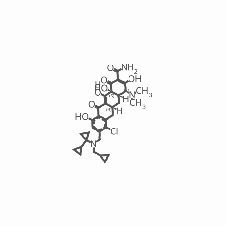 CN(C)[C@@H]1C(O)=C(C(N)=O)C(=O)[C@@]2(O)C(O)=C3C(=O)c4c(O)cc(CN(CC5CC5)C5(C6CC6)CC5)c(Cl)c4C[C@H]3C[C@@H]12